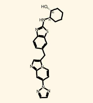 O[C@@H]1CCCC[C@H]1Nc1nc2ccc(Cc3cnc4cc(-n5nccn5)ccn34)cc2s1